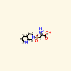 N[C@@H](CS(=O)(=O)N1CCc2cccnc2C1)C(=O)O